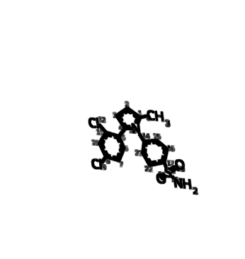 Cc1ccc(-c2ccc(Cl)cc2Cl)n1-c1ccc(S(N)(=O)=O)cc1